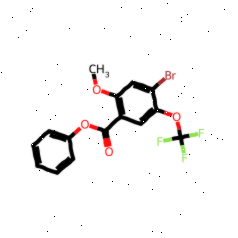 COc1cc(Br)c(OC(F)(F)F)cc1C(=O)Oc1ccccc1